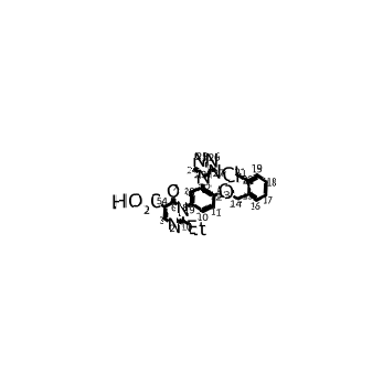 CCc1ncc(C(=O)O)c(=O)n1-c1ccc(OCc2ccccc2Cl)c(-n2cnnn2)c1